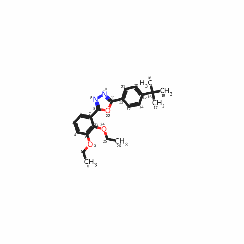 CCOc1cccc(-c2nnc(-c3ccc(C(C)(C)C)cc3)o2)c1OCC